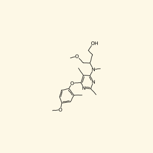 COCC(CCO)N(C)c1nc(C)nc(Oc2ccc(OC)cc2C)c1C